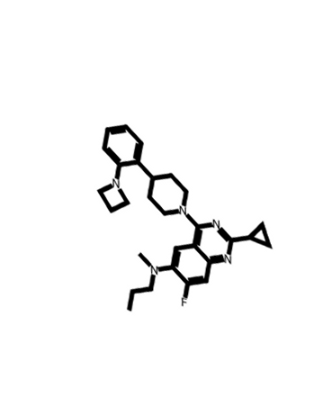 CCCN(C)c1cc2c(N3CCC(c4ccccc4N4CCC4)CC3)nc(C3CC3)nc2cc1F